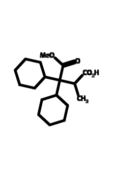 COC(=O)C(C1CCCCC1)(C1CCCCC1)C(C)C(=O)O